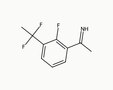 CC(=N)c1cccc(C(C)(F)F)c1F